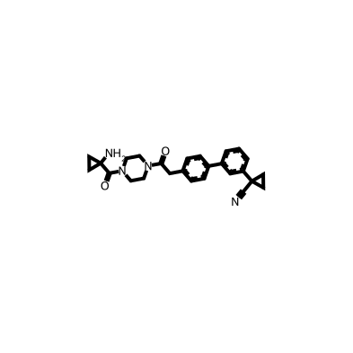 N#CC1(c2cccc(-c3ccc(CC(=O)N4CCN(C(=O)C5(N)CC5)CC4)cc3)c2)CC1